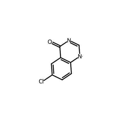 O=C1N=C[N]c2ccc(Cl)cc21